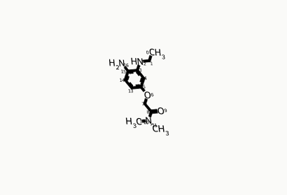 CCNc1cc(OCC(=O)N(C)C)ccc1N